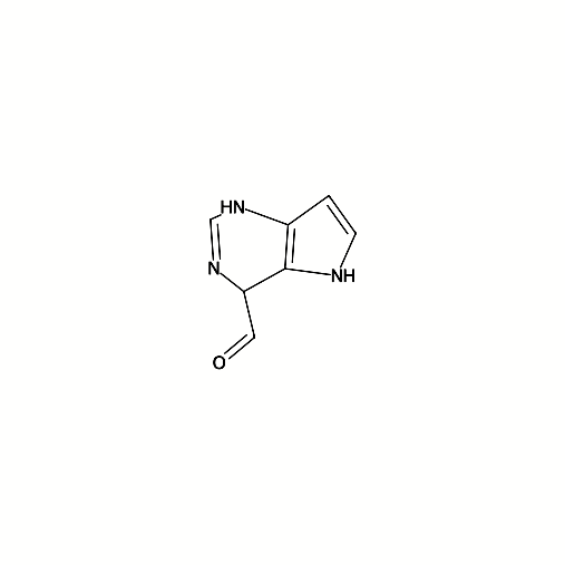 O=CC1N=CNc2cc[nH]c21